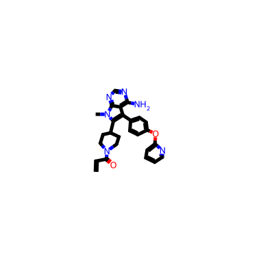 C=CC(=O)N1CCC(c2c(-c3ccc(Oc4ccccn4)cc3)c3c(N)ncnc3n2C)CC1